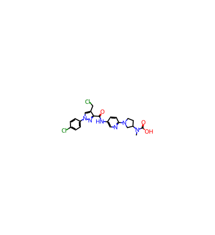 CN(C(=O)O)C1CCN(c2ccc(NC(=O)c3nn(-c4ccc(Cl)cc4)cc3CCl)cn2)C1